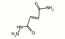 NNC(=O)/C=C/C(N)=O